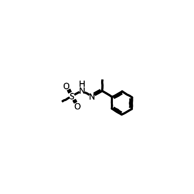 CC(=NNS(C)(=O)=O)c1ccccc1